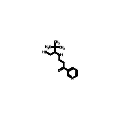 CC(C)(C)C(CO)NCCC(=O)c1cccnc1